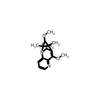 COC1=C2[C@H](C)N(c3cccnc31)C1(C)C(OC)C21C